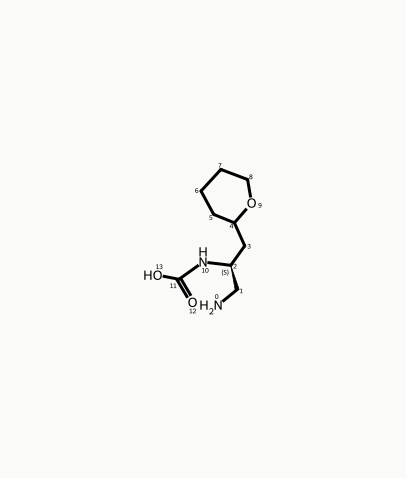 NC[C@H](CC1CCCCO1)NC(=O)O